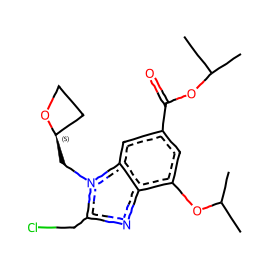 CC(C)OC(=O)c1cc(OC(C)C)c2nc(CCl)n(C[C@@H]3CCO3)c2c1